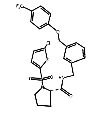 O=C(NCc1cccc(COc2ccc(C(F)(F)F)cc2)c1)[C@@H]1CCCN1S(=O)(=O)c1ccc(Cl)s1